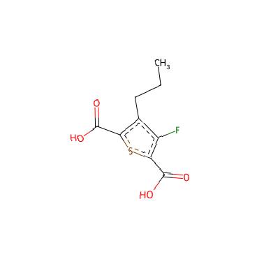 CCCc1c(C(=O)O)sc(C(=O)O)c1F